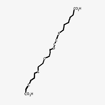 O=C(O)CCCCCSCCOCCOCCSCCCCCC(=O)O